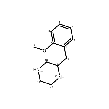 COc1ccccc1CC1CNCCN1